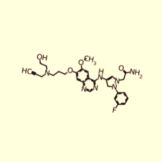 C#CCN(CCO)CCCOc1cc2ncnc(NC3=CN(CC(N)=O)N(c4cccc(F)c4)C3)c2cc1OC